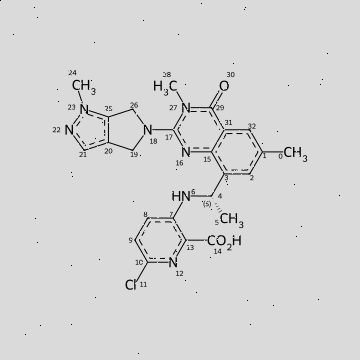 Cc1cc([C@H](C)Nc2ccc(Cl)nc2C(=O)O)c2nc(N3Cc4cnn(C)c4C3)n(C)c(=O)c2c1